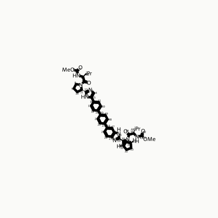 COC(=O)N[C@H](C(=O)N1CCC[C@H]1c1ncc(-c2ccc(-c3ccc(-c4ccc5nc([C@@H]6[C@H]7CC[C@H](C7)N6C(=O)[C@@H](NC(=O)OC)C(C)C)[nH]c5c4)cc3)cc2)[nH]1)C(C)C